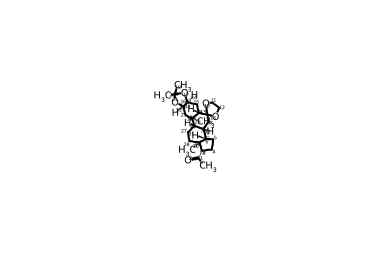 CC(=O)[C@H]1CC[C@H]2[C@@H]3CC4(OCCO4)[C@H]4C[C@@H]5OC(C)(C)O[C@@H]5C[C@]4(C)[C@H]3CC[C@]12C